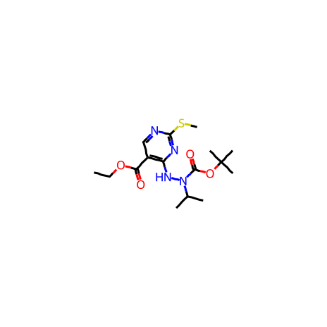 CCOC(=O)c1cnc(SC)nc1NN(C(=O)OC(C)(C)C)C(C)C